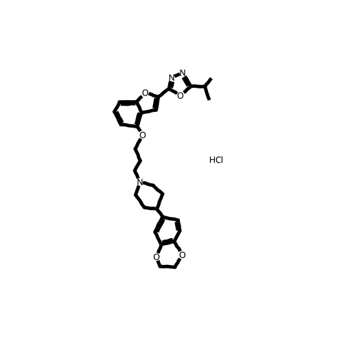 CC(C)c1nnc(-c2cc3c(OCCCN4CCC(c5ccc6c(c5)OCCO6)CC4)cccc3o2)o1.Cl